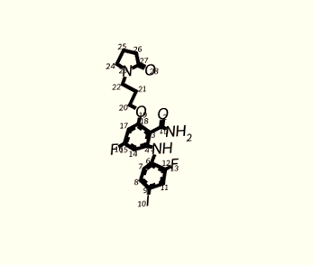 NC(=O)c1c(Nc2ccc(I)cc2F)cc(F)cc1OCCCN1CCCC1=O